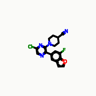 N#CC1CCN(c2nc(Cl)cnc2-c2cc(F)c3occc3c2)CC1